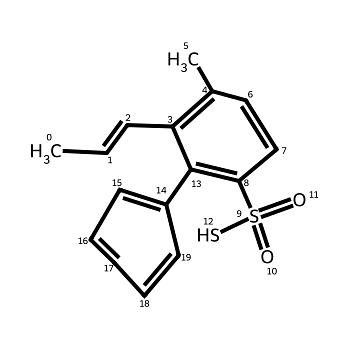 CC=Cc1c(C)ccc(S(=O)(=O)S)c1-c1ccccc1